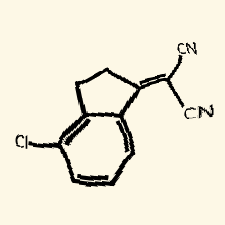 N#CC(C#N)=C1CCc2c(Cl)cccc21